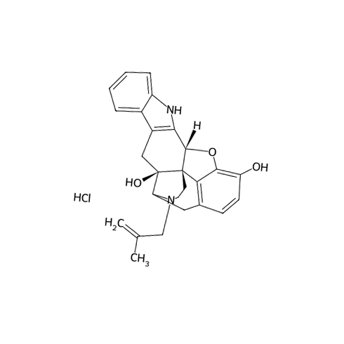 C=C(C)CN1CC[C@]23c4c5ccc(O)c4O[C@H]2c2[nH]c4ccccc4c2C[C@@]3(O)C1C5.Cl